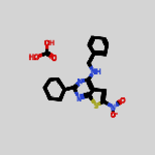 O=C(O)O.O=[N+]([O-])c1cc2c(NCc3ccccc3)nc(C3CCCCC3)nc2s1